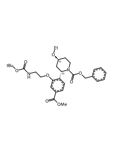 CCO[C@H]1CCN(C(=O)OCc2ccccc2)[C@H](c2ccc(C(=O)OC)cc2OCCNC(=O)OC(C)(C)C)C1